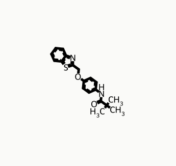 CC(C)(C)C(=O)Nc1ccc(OCc2nc3ccccc3s2)cc1